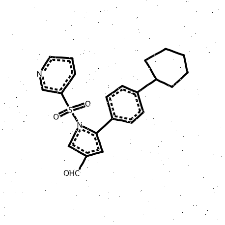 O=Cc1cc(-c2ccc(C3CCCCC3)cc2)n(S(=O)(=O)c2cccnc2)c1